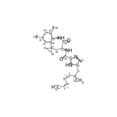 C=C(/C=C\C=C/C)Cc1nnc(C(=O)NC2CC3(CC3)c3cc(F)cc(F)c3NC2=O)[nH]1